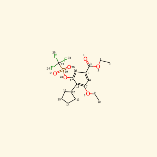 CCOC(=O)c1cc(OCC)c(C2CCCC2)c(OS(=O)(=O)C(F)(F)F)c1